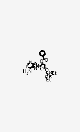 CCOP(=O)(CO[C@@H]1C[C@@H](OC(=O)c2ccccc2)[C@H](n2nc3ncnc(N)c3n2)O1)OCC